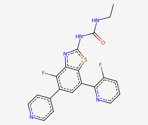 CCNC(=O)Nc1nc2c(F)c(-c3ccncc3)cc(-c3ncccc3F)c2s1